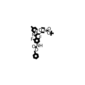 Cc1ccn2c(C[C@H]3CN(C(=O)OC(C)(C)C)CCO3)c(-c3c(F)cc(NC(=O)OCc4ccccc4)cc3F)nc2c1